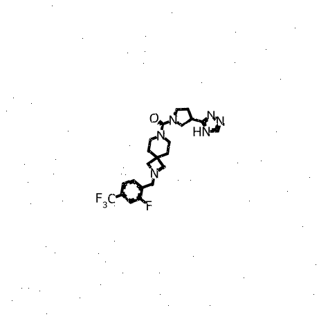 O=C(N1CCC2(CC1)CN(Cc1ccc(C(F)(F)F)cc1F)C2)N1CCC(c2nnc[nH]2)C1